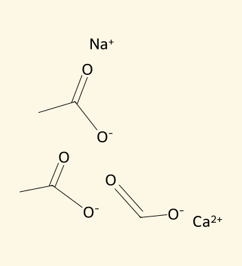 CC(=O)[O-].CC(=O)[O-].O=C[O-].[Ca+2].[Na+]